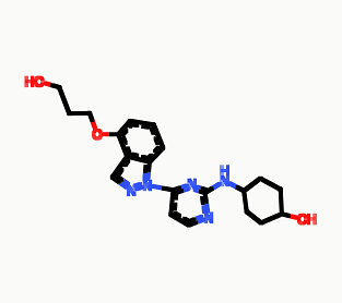 OCCCOc1cccc2c1cnn2-c1ccnc(NC2CCC(O)CC2)n1